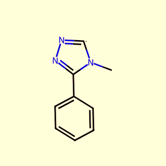 Cn1[c]nnc1-c1ccccc1